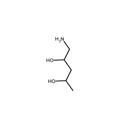 CC(O)CC(O)CN